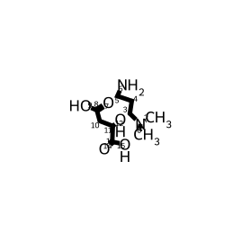 CN(C)CCCN.O=C(O)CC(O)C(=O)O